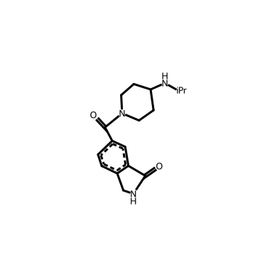 CC(C)NC1CCN(C(=O)c2ccc3c(c2)C(=O)NC3)CC1